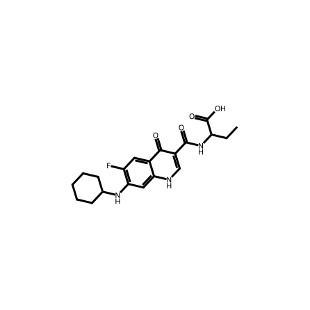 CCC(NC(=O)c1c[nH]c2cc(NC3CCCCC3)c(F)cc2c1=O)C(=O)O